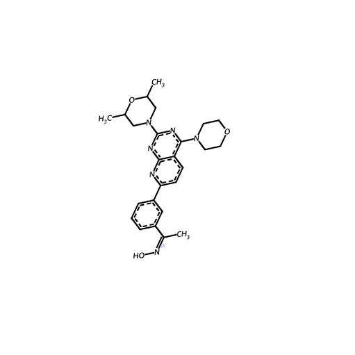 C/C(=N/O)c1cccc(-c2ccc3c(N4CCOCC4)nc(N4CC(C)OC(C)C4)nc3n2)c1